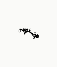 CCCC1(OC(=O)CCC(C)=O)CCCN(C(=O)CCCCCN2C(=O)c3ccccc3C2=O)C1